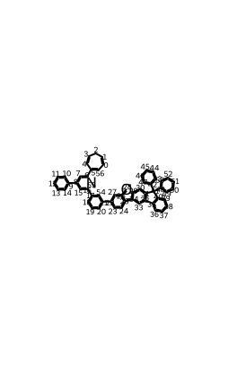 C1=CCC=CC(c2cc(-c3ccccc3)cc(-c3cccc(-c4ccc5c(c4)oc4cc6c(cc45)-c4ccccc4C6(c4ccccc4)c4ccccc4)c3)n2)=C1